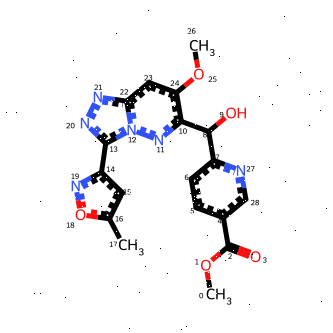 COC(=O)c1ccc(C(O)c2nn3c(-c4cc(C)on4)nnc3cc2OC)nc1